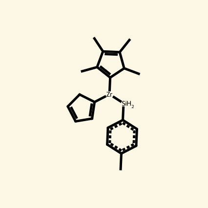 CC1=C(C)C(C)[C]([Zr]([SiH2]c2ccc(C)cc2)[C]2=CC=CC2)=C1C